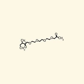 CCC(C)C(=O)COCCOCCOCCOCC(C)=O